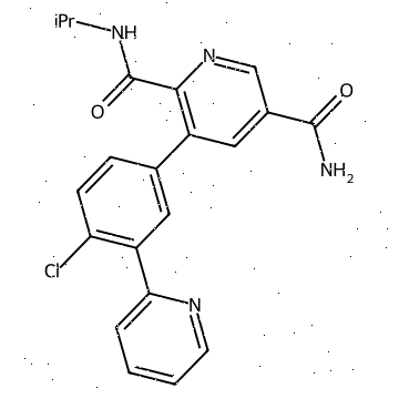 CC(C)NC(=O)c1ncc(C(N)=O)cc1-c1ccc(Cl)c(-c2ccccn2)c1